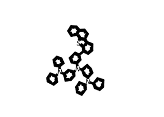 c1ccc(N(c2ccccc2)c2cccc(N(c3cccc(-c4cccc5c4sc4c6ccccc6ccc54)c3)c3cccc(N(c4ccccc4)c4ccccc4)c3)c2)cc1